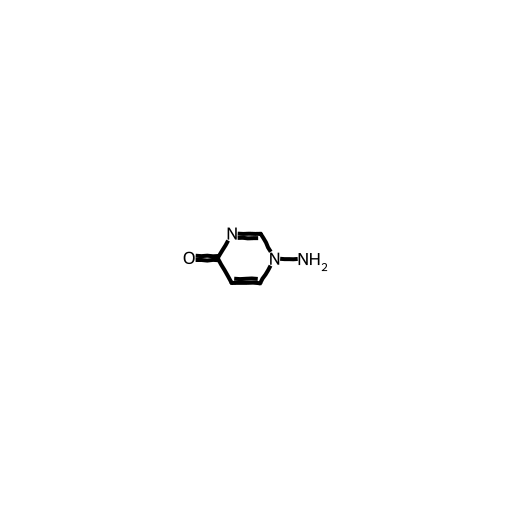 Nn1ccc(=O)nc1